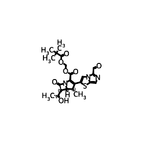 C[C@@H](O)[C@H]1C(=O)N2C(C(=O)OCOC(=O)C(C)(C)C)=C(c3cn4c(C=O)ncc4s3)[C@H](C)[C@H]12